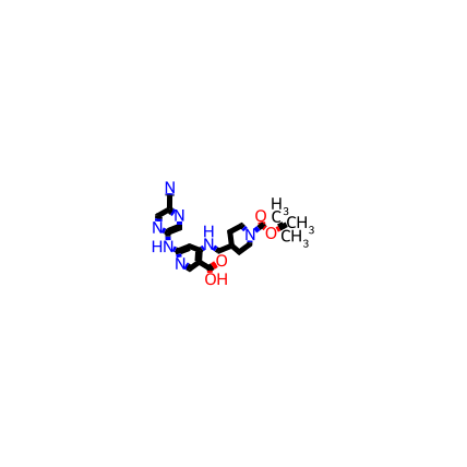 CC(C)(C)OC(=O)N1CCC(CNc2cc(Nc3cnc(C#N)cn3)ncc2C(=O)O)CC1